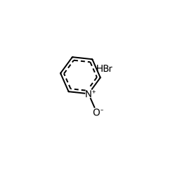 Br.[O-][n+]1ccccc1